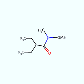 CON(C)C(=O)C(CC(F)(F)F)CC(F)(F)F